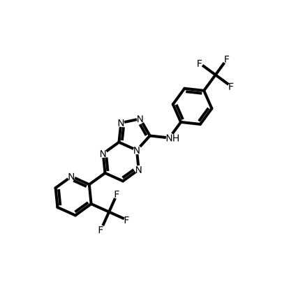 FC(F)(F)c1ccc(Nc2nnc3nc(-c4ncccc4C(F)(F)F)cnn23)cc1